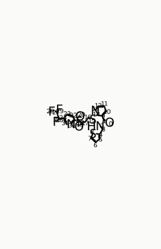 O=C(NCc1cccs1)c1cccnc1SCCS(=O)(=O)c1ccc(C(F)C(F)F)cn1